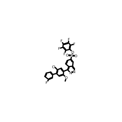 COc1cc(-c2cccc(F)c2)c(Cl)cc1-c1nncc2cc(S(=O)(=O)Oc3c(F)c(F)c(F)c(F)c3F)ccc12